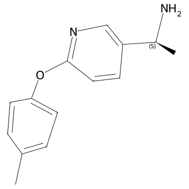 Cc1ccc(Oc2ccc([C@H](C)N)cn2)cc1